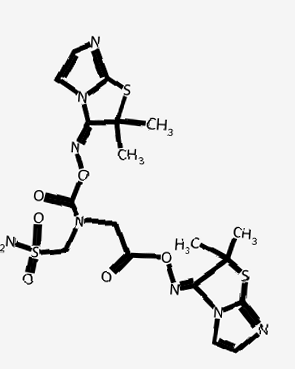 CC1(C)Sc2nccn2C1=NOC(=O)CN(CS(N)(=O)=O)C(=O)ON=C1n2ccnc2SC1(C)C